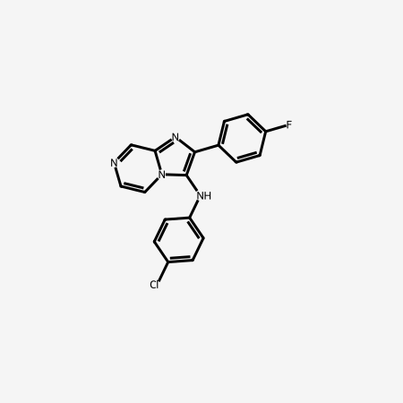 Fc1ccc(-c2nc3cnccn3c2Nc2ccc(Cl)cc2)cc1